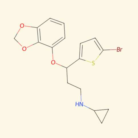 Brc1ccc(C(CCNC2CC2)Oc2cccc3c2OCO3)s1